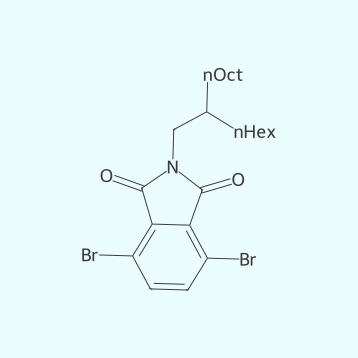 CCCCCCCCC(CCCCCC)CN1C(=O)c2c(Br)ccc(Br)c2C1=O